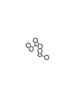 c1ccc(-n2ccc3cc4c(ccc5c6ccccc6n(-c6cncc7ccccc67)c45)cc32)cc1